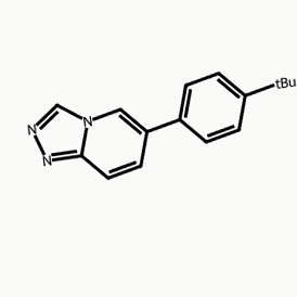 CC(C)(C)c1ccc(-c2ccc3nncn3c2)cc1